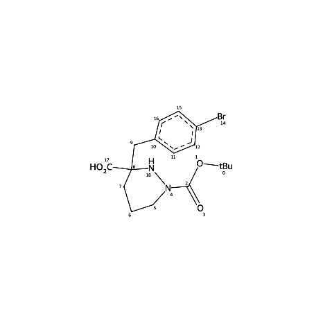 CC(C)(C)OC(=O)N1CCCC(Cc2ccc(Br)cc2)(C(=O)O)N1